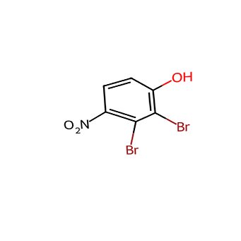 O=[N+]([O-])c1ccc(O)c(Br)c1Br